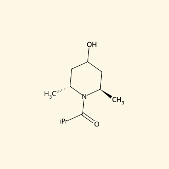 CC(C)C(=O)N1[C@H](C)CC(O)C[C@H]1C